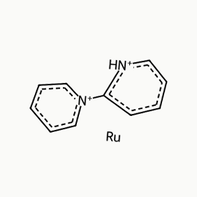 [Ru].c1cc[n+](-c2cccc[nH+]2)cc1